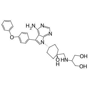 Nc1ncnc2c1c(-c1ccc(Oc3ccccc3)cc1)cn2[C@H]1CC[C@@](O)(CNC(CO)CO)CC1